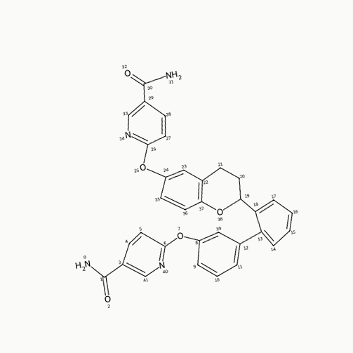 NC(=O)c1ccc(Oc2cccc(-c3ccccc3C3CCc4cc(Oc5ccc(C(N)=O)cn5)ccc4O3)c2)nc1